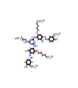 O=S(=O)(O)CCCCOc1cc(N=Nc2ccc(Cl)c(S(=O)(=O)O)c2)c(Cl)cc1Nc1nc(NCCS(=O)(=O)O)nc(Nc2cc(Cl)c(N=Nc3ccc(Cl)c(S(=O)(=O)O)c3)cc2OCCCCS(=O)(=O)O)n1